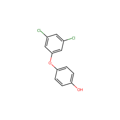 Oc1ccc(Oc2cc(Cl)cc(Cl)c2)cc1